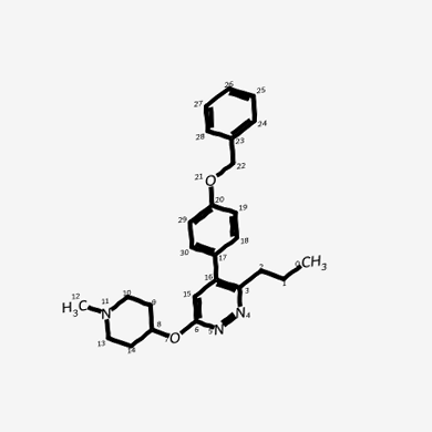 CCCc1nnc(OC2CCN(C)CC2)cc1-c1ccc(OCc2ccccc2)cc1